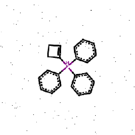 C1=C([PH](c2ccccc2)(c2ccccc2)c2ccccc2)CC1